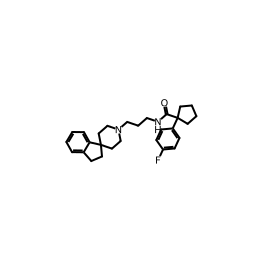 O=C(NCCCN1CCC2(CCc3ccccc32)CC1)C1(c2ccc(F)cc2)CCCC1